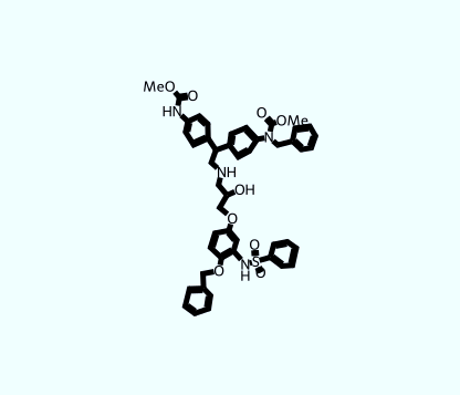 COC(=O)Nc1ccc(C(CNCC(O)COc2ccc(OCc3ccccc3)c(NS(=O)(=O)c3ccccc3)c2)c2ccc(N(Cc3ccccc3)C(=O)OC)cc2)cc1